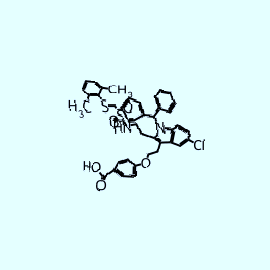 Cc1cccc(C)c1SCS(=O)(=O)NCCc1c(CCOc2ccc(C(=O)O)cc2)c2cc(Cl)ccc2n1C(c1ccccc1)c1ccccc1